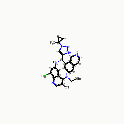 CC(C)(C)CNc1c(C#N)cnc2c(Cl)cc(N[C@H](C3=CN(C4(C(F)(F)F)CC4)NN3)c3cccc4ccncc34)cc12